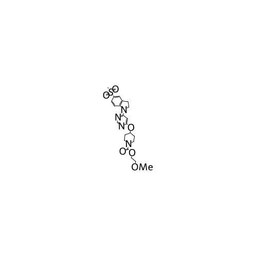 COCCOC(=O)N1CCC(Oc2cc(N3CCc4cc(S(C)(=O)=O)ccc43)ncn2)CC1